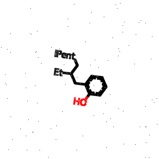 CCCC(C)CC(CC)Cc1ccccc1O